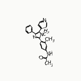 CC(=O)Nc1ccc(-c2nc(-c3ccccc3)c(-c3ccncc3)n2C)c(C)c1